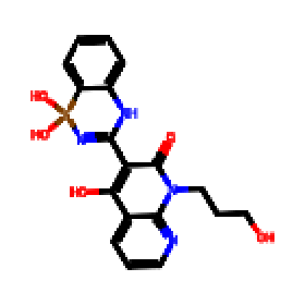 O=c1c(C2=NS(O)(O)c3ccccc3N2)c(O)c2cccnc2n1CCCO